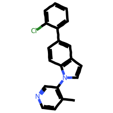 Cc1ccncc1-n1ccc2cc(-c3ccccc3Cl)ccc21